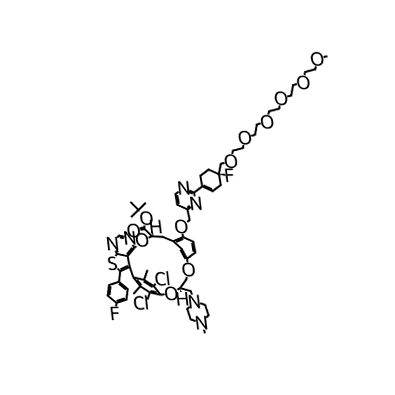 COCCOCCOCCOCCOCCOC[C@]1(F)CC=C(c2nccc(COc3ccc4cc3C[C@H](C(=O)OC(C)(C)C)Oc3ncnc5sc(-c6ccc(F)cc6)c(c35)-c3c(C)c(Cl)c(c(Cl)c3C)O[C@H](CN3CCN(C)CC3)CO4)n2)CC1